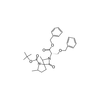 CC1CCC2(C(=O)N([C@@H](COCc3ccccc3)C(=O)OCc3ccccc3)C2C)N1C(=O)OC(C)(C)C